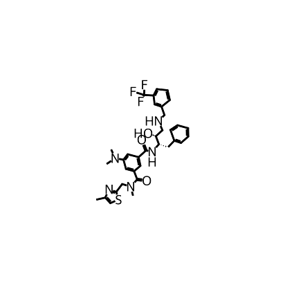 Cc1csc(CN(C)C(=O)c2cc(C(=O)N[C@@H](Cc3ccccc3)[C@H](O)CNCc3cccc(C(F)(F)F)c3)cc(N(C)C)c2)n1